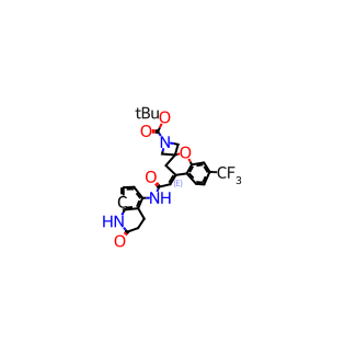 CC(C)(C)OC(=O)N1CC2(C/C(=C\C(=O)Nc3cccc4c3CCC(=O)N4)c3ccc(C(F)(F)F)cc3O2)C1